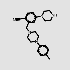 Cc1ccc(N2CCN(Cc3cc(N4CCNCC4)ccc3C#N)CC2)cc1